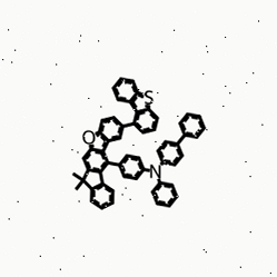 CC1(C)c2ccccc2-c2c1cc1oc3ccc(-c4cccc5sc6ccccc6c45)cc3c1c2-c1ccc(N(c2ccccc2)c2ccc(-c3ccccc3)cc2)cc1